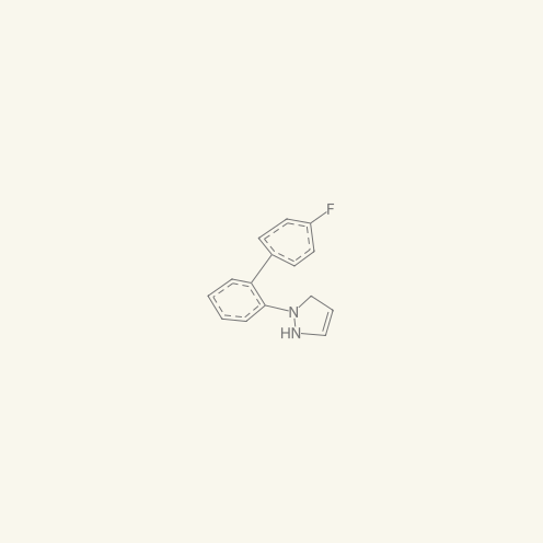 Fc1ccc(-c2ccccc2N2CC=CN2)cc1